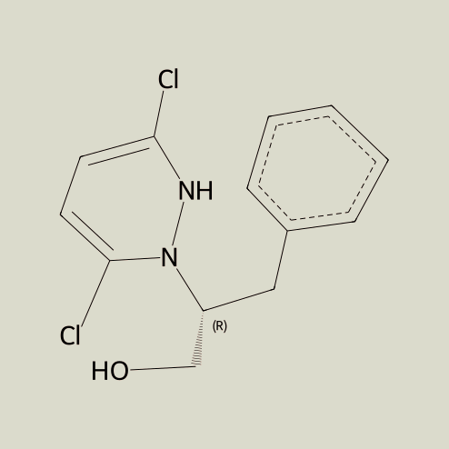 OC[C@@H](Cc1ccccc1)N1NC(Cl)=CC=C1Cl